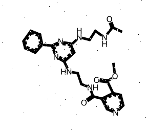 COC(=O)c1ccncc1C(=O)NCCNc1cc(NCCNC(C)=O)nc(-c2ccccc2)n1